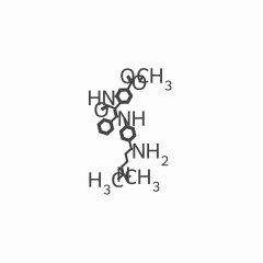 COC(=O)c1ccc2c(c1)NC(=O)C2=C(Nc1ccc(C(N)CCCN(C)C)cc1)c1ccccc1